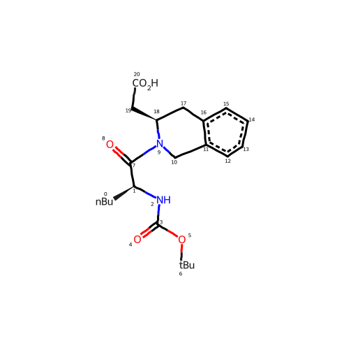 CCCC[C@H](NC(=O)OC(C)(C)C)C(=O)N1Cc2ccccc2C[C@@H]1CC(=O)O